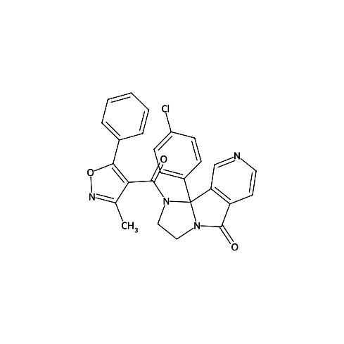 Cc1noc(-c2ccccc2)c1C(=O)N1CCN2C(=O)c3ccncc3C21c1ccc(Cl)cc1